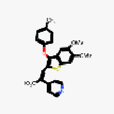 COc1cc2sc(C=C(C(=O)O)c3ccncc3)c(Oc3ccc(C(F)(F)F)cc3)c2cc1OC